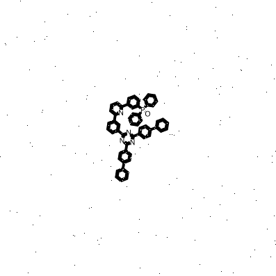 O=P(c1ccccc1)(c1ccccc1)c1cccc(-c2cccc(-c3cccc(-c4nc(-c5ccc(-c6ccccc6)cc5)nc(-c5ccc(-c6ccccc6)cc5)n4)c3)n2)c1